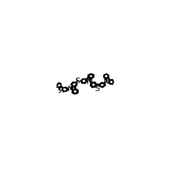 c1ccc2c(c1)sc1ccc(-n3c4ccccc4c4cc(Sc5ccc6c(c5)c5ccccc5n6-c5ccc6sc7ccc(-n8c9ccccc9c9ccccc98)cc7c6c5)ccc43)cc12